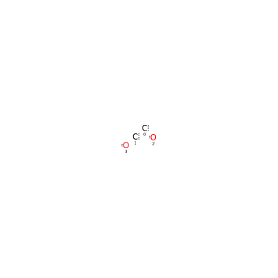 [C].[C].[O].[O]